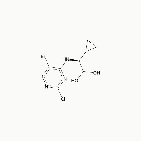 OC(O)[C@@H](Nc1nc(Cl)ncc1Br)C1CC1